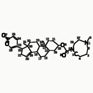 CN1CCCCN(C(=O)OC2CCC3(C)C(CCC4C5=CCC(c6ccc(=O)oc6)C5(C)CCC43)C2)CC1